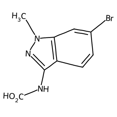 Cn1nc(NC(=O)O)c2ccc(Br)cc21